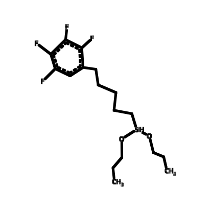 CCCO[SiH](CCCCCc1cc(F)c(F)c(F)c1F)OCCC